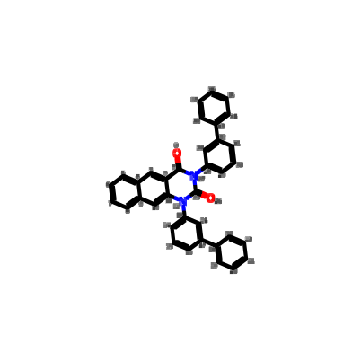 O=c1c2cc3ccccc3cc2n(-c2cccc(-c3ccccc3)c2)c(=O)n1-c1cccc(-c2ccccc2)c1